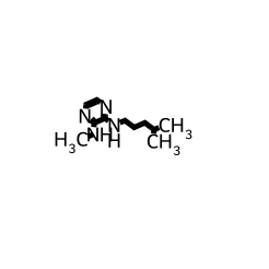 CNc1nccnc1NCCCC(C)C